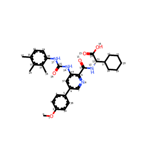 COc1ccc(-c2cnc(C(=O)N[C@H](C(=O)O)C3CCCCC3)c(NC(=O)Nc3ccc(C)c(C)c3C)c2)cc1